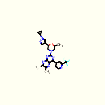 Cc1nc2nc(N3CC(C)OC(c4cnn(C5CC5)c4)C3)nc(-c3ccnc(C(F)(F)F)c3)c2nc1C